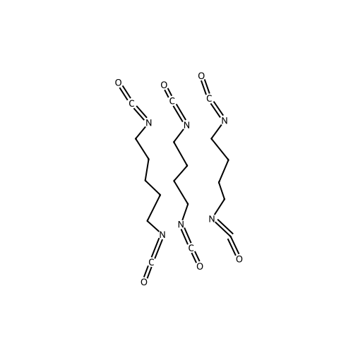 O=C=NCCCCCN=C=O.O=C=NCCCCN=C=O.O=C=NCCCCN=C=O